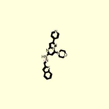 C1=CC2C=C(/C=N/Nc3cc(N4CCOCC4)n4nc(-c5ccncc5)cc4n3)SC2C=C1